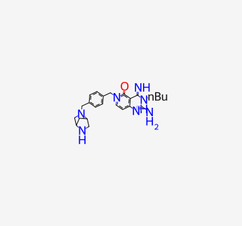 CCCCNC(=N)c1c(/N=C/N)ccn(Cc2ccc(CN3CC4CC3CN4)cc2)c1=O